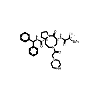 CN[C@H](C)C(=O)N[C@@H]1CN(C(=O)CN2CCNCC2)CC[C@@]2(C(=O)NC(c3ccccc3)c3ccccc3)CCCN2C1=O